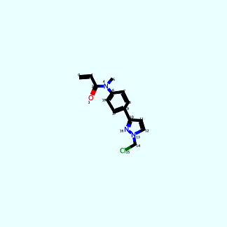 C=CC(=O)N(C)c1ccc(-c2ccn(CCl)n2)cc1